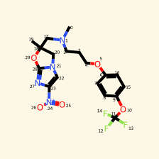 CN(CCCOc1ccc(OC(F)(F)F)cc1)CC1(C)Cn2cc([N+](=O)[O-])nc2O1